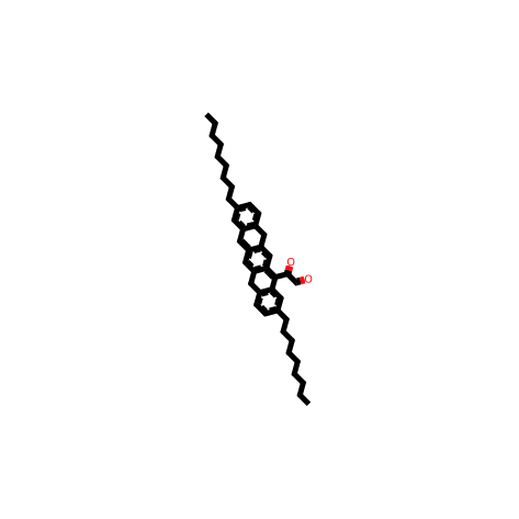 CCCCCCCCCc1ccc2c(c1)C=c1cc3c(cc1C2)=C(C(=O)C=O)c1cc(CCCCCCCCC)ccc1C3